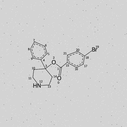 O=C(OC1(c2ccccc2)CCNCC1)c1ccc(Br)cc1